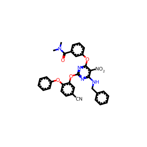 CN(C)C(=O)c1cccc(Oc2nc(Oc3cc(C#N)ccc3Oc3ccccc3)nc(NCc3ccccc3)c2[N+](=O)[O-])c1